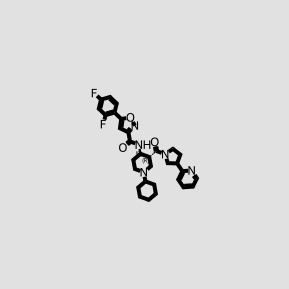 O=C(N[C@@H]1CCN(C2CCCCC2)C[C@H]1C(=O)N1CCC(c2ccccn2)C1)c1cc(-c2ccc(F)cc2F)on1